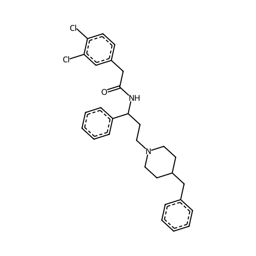 O=C(Cc1ccc(Cl)c(Cl)c1)NC(CCN1CCC(Cc2ccccc2)CC1)c1ccccc1